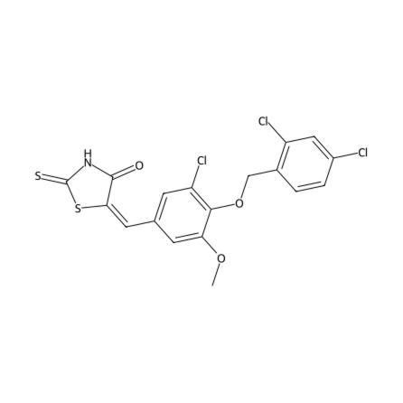 COc1cc(/C=C2/SC(=S)NC2=O)cc(Cl)c1OCc1ccc(Cl)cc1Cl